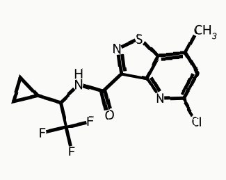 Cc1cc(Cl)nc2c(C(=O)NC(C3CC3)C(F)(F)F)nsc12